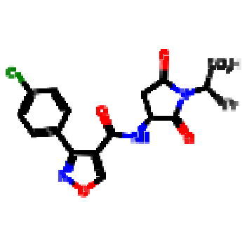 CC(C)[C@H](C(=O)O)N1C(=O)C[C@H](NC(=O)c2conc2-c2ccc(Cl)cc2)C1=O